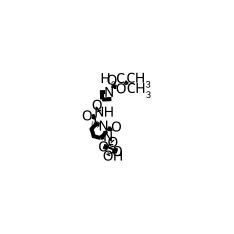 CC(C)(C)OC(=O)N1CC(ONC(=O)[C@@H]2CCC3CN2C(=O)N3OS(=O)(=O)O)C1